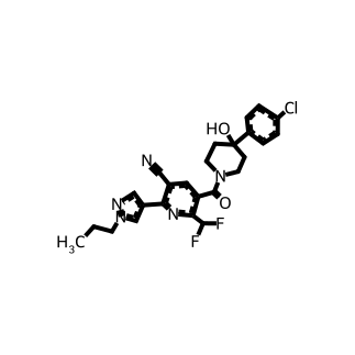 CCCn1cc(-c2nc(C(F)F)c(C(=O)N3CCC(O)(c4ccc(Cl)cc4)CC3)cc2C#N)cn1